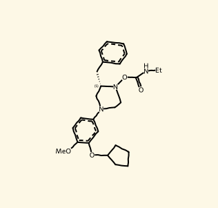 CCNC(=O)ON1CCN(c2ccc(OC)c(OC3CCCC3)c2)C[C@@H]1Cc1ccccc1